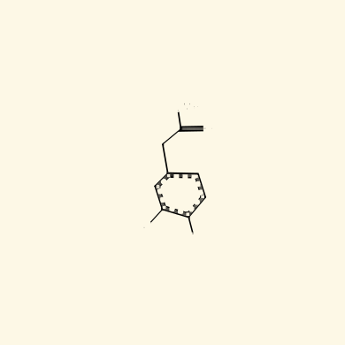 CCCCc1cc(CC(=O)OC)ccc1F